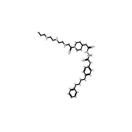 CCCOCCOCCOCC(=O)N1CCC(CC(=O)ONC(=O)Cc2ccc(CCCCc3ccccc3)cc2)CC1